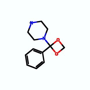 c1ccc(C2(N3CC[N]CC3)OCO2)cc1